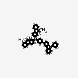 CC1(C)c2ccccc2-c2ccc(N(c3ccc(-c4ccc5c(c4)c4ccccc4n5-c4ccccc4)cc3)c3ccc4c(c3)C(C)(C)C3C=CC=CC43)cc21